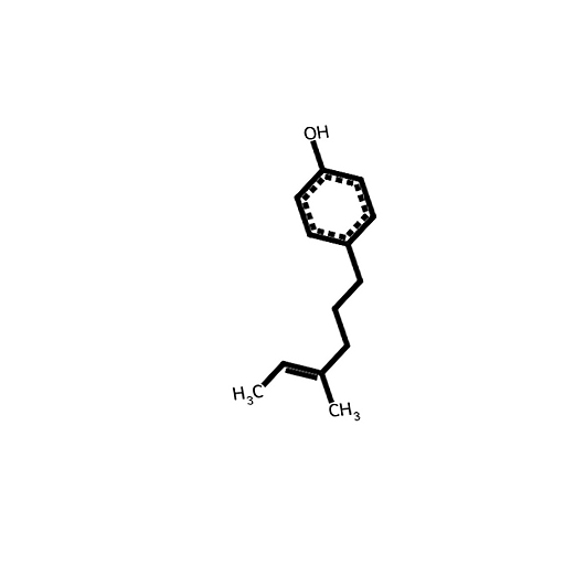 CC=C(C)CCCc1ccc(O)cc1